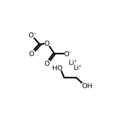 O=C([O-])OC(=O)[O-].OCCO.[Li+].[Li+]